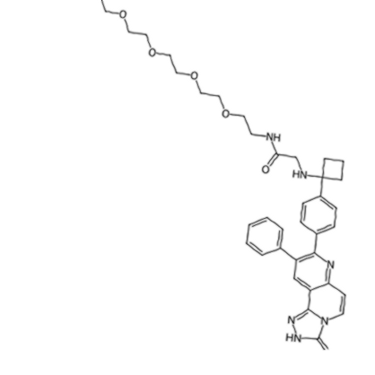 O=C(O)NCCOCCOCCOCCOCCNC(=O)CNC1(c2ccc(-c3nc4ccn5c(=O)[nH]nc5c4cc3-c3ccccc3)cc2)CCC1